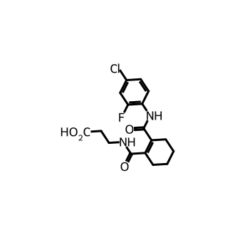 O=C(O)CCNC(=O)C1=C(C(=O)Nc2ccc(Cl)cc2F)CCCC1